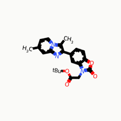 Cc1ccn2c(C)c(-c3ccc4oc(=O)n(CC(=O)OC(C)(C)C)c4c3)nc2c1